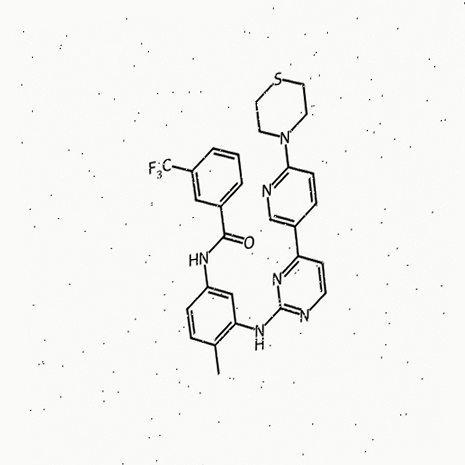 Cc1ccc(NC(=O)c2cccc(C(F)(F)F)c2)cc1Nc1nccc(-c2ccc(N3CCSCC3)nc2)n1